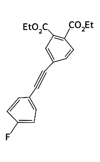 CCOC(=O)c1ccc(C#Cc2ccc(F)cc2)cc1C(=O)OCC